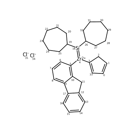 C1=CC[C]([Zr+2]([c]2cccc3c2Cc2ccccc2-3)=[Si](C2CCCCCC2)C2CCCCCC2)=C1.[Cl-].[Cl-]